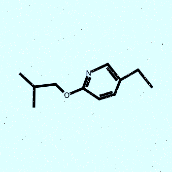 CCc1ccc(OCC(C)C)nc1